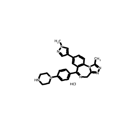 Cc1nnc2n1-c1ccc(-c3cnn(C)c3)cc1C(c1ccc(N3CCNCC3)cc1)=NC2.Cl